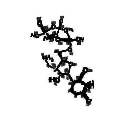 NC[C@H]1[C@@H](O)[C@H](n2ccc(=O)[nH]c2=O)O[C@@H]1COP(=O)(O)OP(=O)(O)OP(=O)(O)O